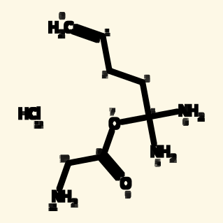 C=CCCC(N)(N)OC(=O)CN.Cl